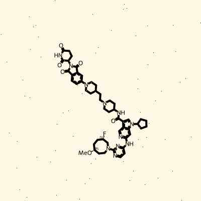 CO[C@@H]1CC[C@H](F)CN(c2nccc(Nc3cc4c(cn3)c(C(=O)NC3CCN(CCC5CCN(c6ccc7c(c6)C(=O)N(C6CCC(=O)NC6=O)C7=O)CC5)CC3)cn4C3CCCC3)n2)CC1